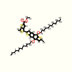 CCCCCCCCCCCCOc1c2cc3sc(-c4sc(C)c5sc(C(=O)OCC)cc45)cc3cc2c(OCCCCCCCCCCCC)c2sc(C)cc12